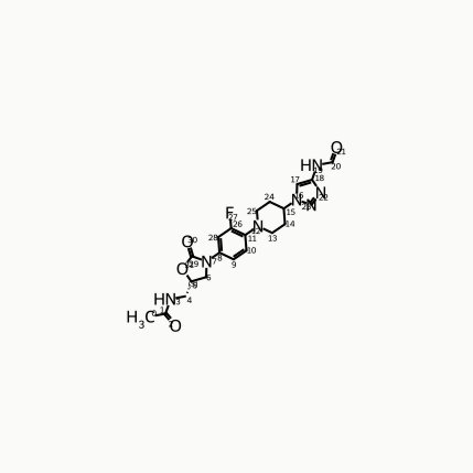 CC(=O)NC[C@H]1CN(c2ccc(N3CCC(n4cc(NC=O)nn4)CC3)c(F)c2)C(=O)O1